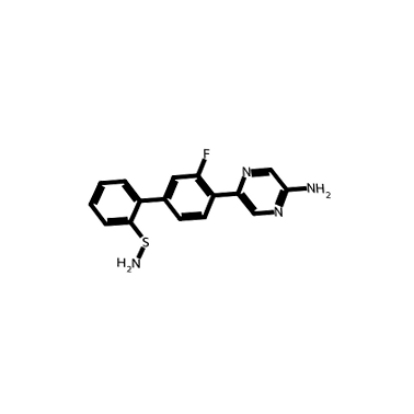 NSc1ccccc1-c1ccc(-c2cnc(N)cn2)c(F)c1